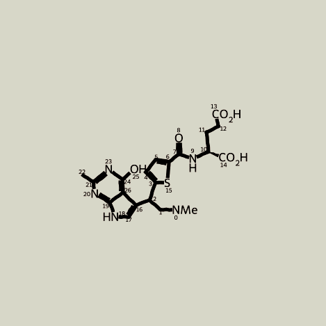 CNCC(c1ccc(C(=O)N[C@@H](CCC(=O)O)C(=O)O)s1)c1c[nH]c2nc(C)nc(O)c12